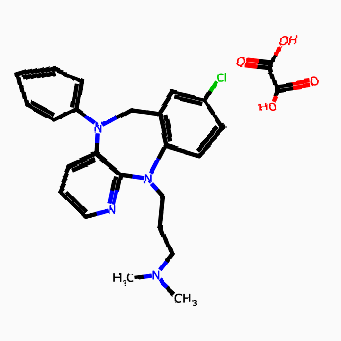 CN(C)CCCN1c2ccc(Cl)cc2CN(c2ccccc2)c2cccnc21.O=C(O)C(=O)O